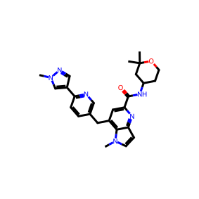 Cn1cc(-c2ccc(Cc3cc(C(=O)NC4CCOC(C)(C)C4)nc4ccn(C)c34)cn2)cn1